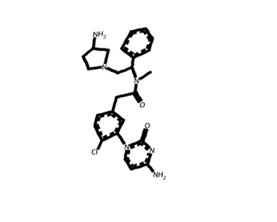 CN(C(=O)Cc1ccc(Cl)c(-n2ccc(N)nc2=O)c1)C(CN1CCC(N)C1)c1ccccc1